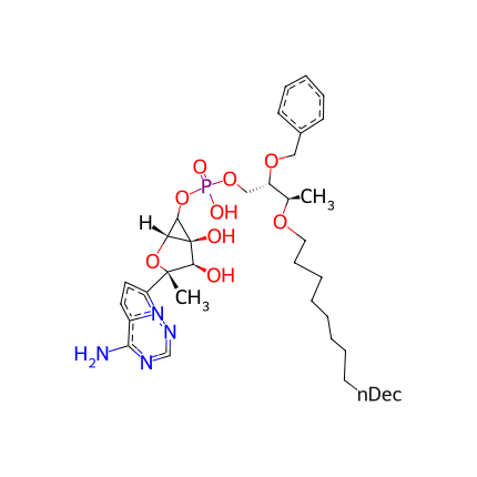 CCCCCCCCCCCCCCCCCCO[C@H](C)[C@H](COP(=O)(O)OC1[C@H]2O[C@@](C)(c3ccc4c(N)ncnn34)[C@H](O)[C@@]12O)OCc1ccccc1